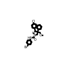 COCC1(c2ccccc2)CN(C(=O)Nc2ccc(Br)cc2)N=C1c1ccc(Cl)cc1